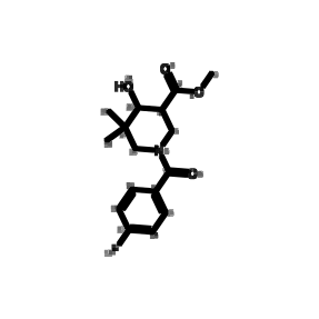 COC(=O)C1CN(C(=O)c2ccc(F)cc2)CC(C)(C)C1O